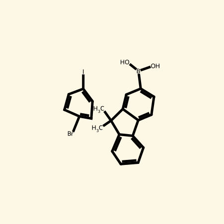 Brc1ccc(I)cc1.CC1(C)c2ccccc2-c2ccc(B(O)O)cc21